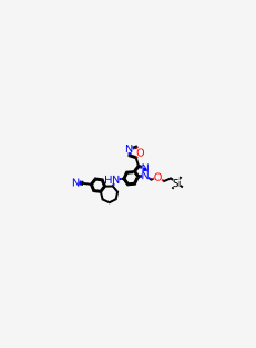 C[Si](C)(C)CCOCn1nc(-c2cnco2)c2cc(NC3CCCCc4cc(C#N)ccc43)ccc21